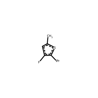 Cc1cc(F)c(C(C)C)s1